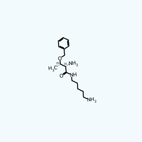 C[C@H](OCc1ccccc1)[C@H](N)C(=O)NCCCCCN